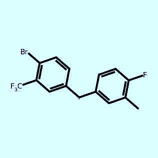 Cc1cc([CH]c2ccc(Br)c(C(F)(F)F)c2)ccc1F